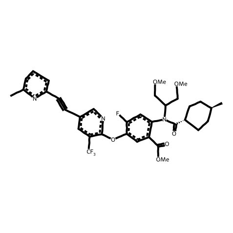 COCC(COC)N(c1cc(F)c(Oc2ncc(C#Cc3cccc(C)n3)cc2C(F)(F)F)cc1C(=O)OC)C(=O)[C@H]1CC[C@H](C)CC1